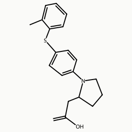 C=C(O)CC1CCCN1c1ccc(Sc2ccccc2C)cc1